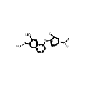 COc1cc2nccc(Oc3ccc([N+](=O)[O-])cc3F)c2cc1O